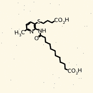 Cc1ccc(SCCCC(=O)O)c(NC(=O)CCCCCCCCCCC(=O)O)n1